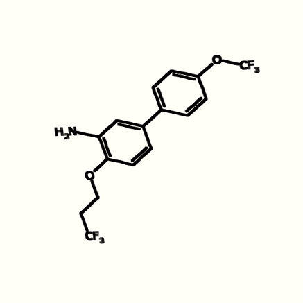 Nc1cc(-c2ccc(OC(F)(F)F)cc2)ccc1OCCC(F)(F)F